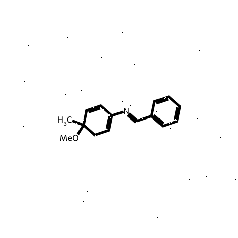 COC1(C)C=CC(N=Cc2ccccc2)=CC1